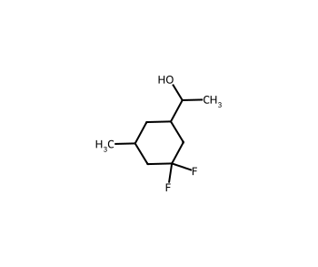 CC1CC(C(C)O)CC(F)(F)C1